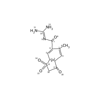 Cc1cc2c(cc1C(=O)N=C(N)N)S(=O)(=O)CC2=O